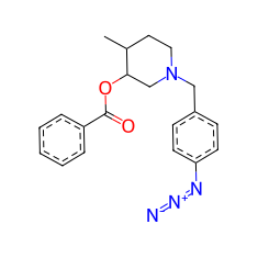 CC1CCN(Cc2ccc(N=[N+]=[N-])cc2)CC1OC(=O)c1ccccc1